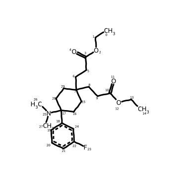 CCOC(=O)CCC1(CCC(=O)OCC)CCC(c2cccc(F)c2)(N(C)C)CC1